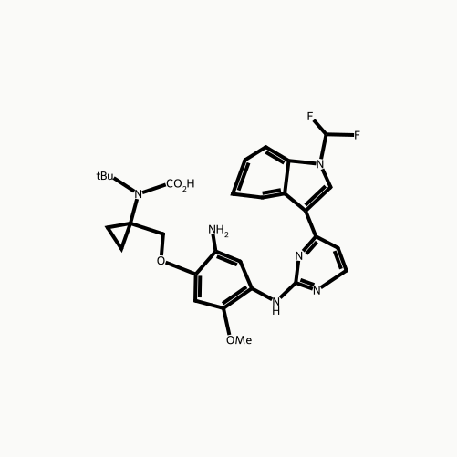 COc1cc(OCC2(N(C(=O)O)C(C)(C)C)CC2)c(N)cc1Nc1nccc(-c2cn(C(F)F)c3ccccc23)n1